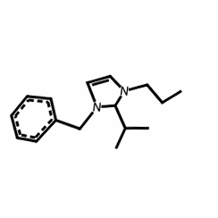 CCCN1C=CN(Cc2ccccc2)C1C(C)C